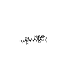 C=C(C(=O)NCCCCCCNC(C)C)C(C)C